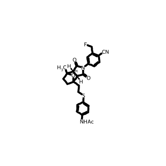 CC(=O)Nc1ccc(SCCC23CCC(C)(O2)[C@@H]2C(=O)N(c4ccc(C#N)c(CF)c4)C(=O)[C@@H]23)cc1